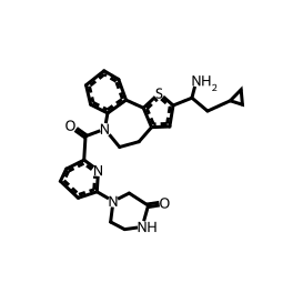 NC(CC1CC1)c1cc2c(s1)-c1ccccc1N(C(=O)c1cccc(N3CCNC(=O)C3)n1)CC2